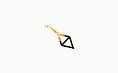 SP1C2CC21